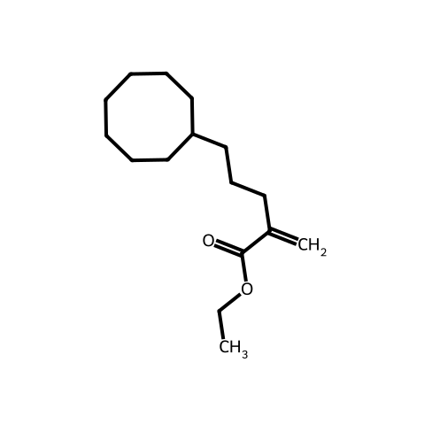 C=C(CCCC1CCCCCCC1)C(=O)OCC